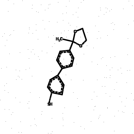 CC1(c2ccc(-c3ccc(S)cc3)cc2)OCCO1